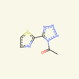 CC(=O)n1nnnc1-c1nccs1